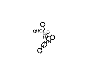 O=C[C@H](Cc1ccccc1)NC(=O)c1cc(N2CCN(c3ccccc3)CC2)nc2ccccc12